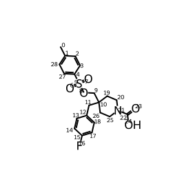 Cc1ccc(S(=O)(=O)OCC2(Cc3ccc(F)cc3)CCN(C(=O)O)CC2)cc1